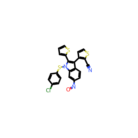 N#Cc1sccc1-c1c(-c2cccs2)n(Sc2ccc(Cl)cc2)c2cc(N=O)ccc12